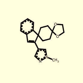 Cn1cc(C2=Cc3ccccc3C23CCC2(CC3)OCCO2)cn1